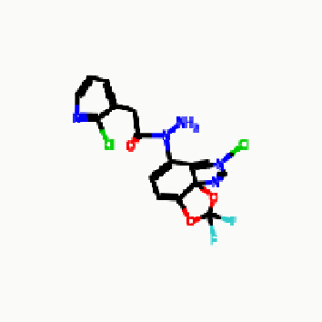 NN(C(=O)Cc1cccnc1Cl)C1=CC=C2OC(F)(F)OC23N=CN(Cl)C=C13